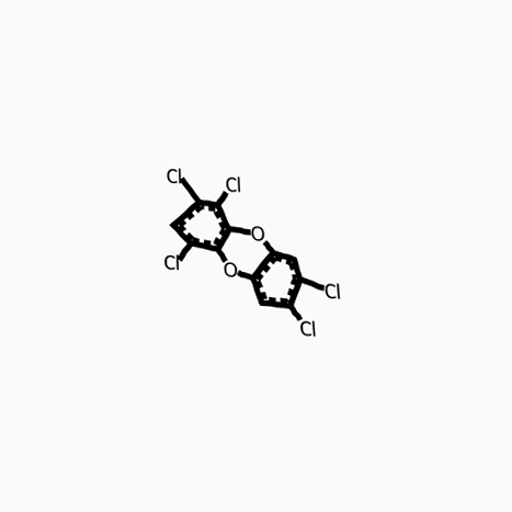 Clc1cc2c(cc1Cl)Oc1c(Cl)c(Cl)cc(Cl)c1O2